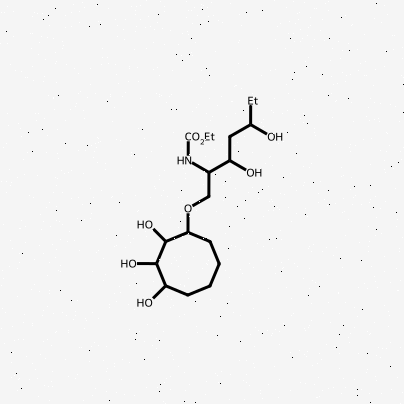 CCOC(=O)NC(COC1CCCCC(O)C(O)C1O)C(O)CC(O)CC